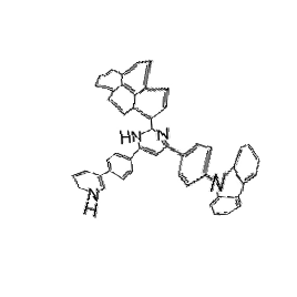 C1=CC(c2ccc(C3=CC(c4ccc(-n5c6ccccc6c6ccccc65)cc4)=NC(c4ccc5ccc6cccc7ccc4c5c67)N3)cc2)=CNC1